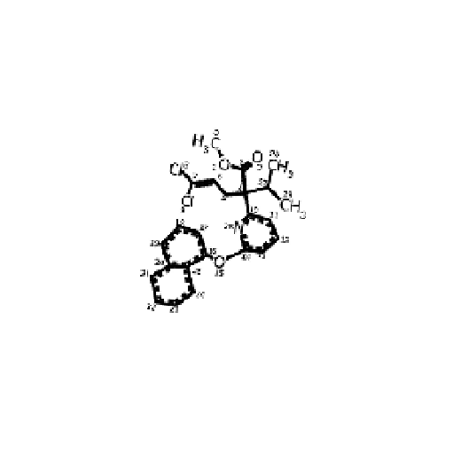 COC(=O)C(CC=C(Cl)Cl)(c1cccc(Oc2cccc3ccccc23)n1)C(C)C